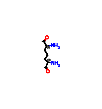 N[C@H]([C]=O)CCC[C@@H](N)[C]=O